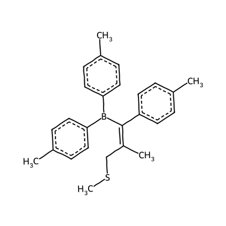 CSC/C(C)=C(\B(c1ccc(C)cc1)c1ccc(C)cc1)c1ccc(C)cc1